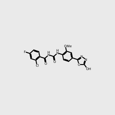 COc1cc(-c2nnc(O)o2)ccc1NC(=O)NC(=O)c1ccc(F)cc1Cl